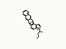 CCCC(C)n1ccc2c3c(ccc21)C1OC3c2cc3ccccc3cc21